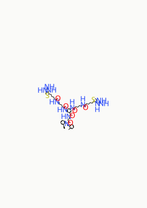 C#Cc1ccccc1N(Cc1ccccc1C)C(=O)CCNC(=O)c1cc(NC(=O)CCCCNC(=O)CCCCC2SCC3NC(=N)NC32)cc(NC(=O)CCCCNC(=O)CCCCC2SCC3NC(=N)NC32)c1